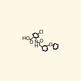 O=C(Cc1cccc(Oc2ccccc2)c1)Nc1cc(Cl)ccc1C(=O)O